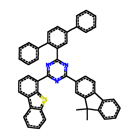 CC1(C)c2ccccc2-c2ccc(-c3nc(-c4cc(-c5ccccc5)ccc4-c4ccccc4)nc(-c4cccc5c4sc4ccccc45)n3)cc21